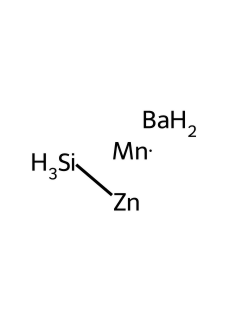 [BaH2].[Mn].[SiH3][Zn]